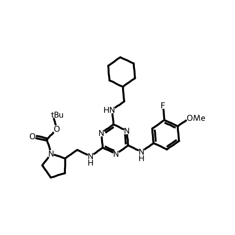 COc1ccc(Nc2nc(NCC3CCCCC3)nc(NCC3CCCN3C(=O)OC(C)(C)C)n2)cc1F